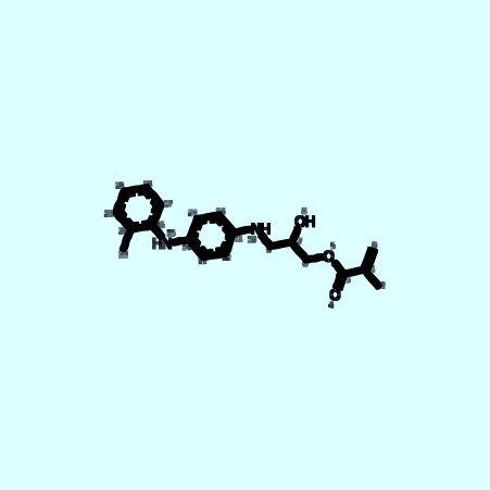 C=C(C)C(=O)OCC(O)CNc1ccc(Nc2ccccc2C)cc1